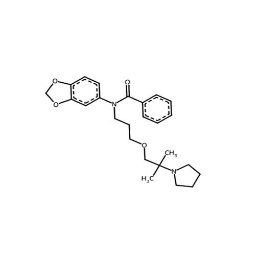 CC(C)(COCCCN(C(=O)c1ccccc1)c1ccc2c(c1)OCO2)N1CCCC1